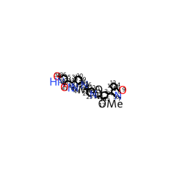 COc1cc(-c2cn(C)c(=O)c3c2CCC3)cc(OC)c1CN1CCC2(CC1)CN(c1cccc3c(C4CCC(=O)NC4=O)nn(C)c13)C2